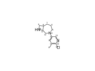 Cc1cc(N2CCCC3CNC3C2)cnc1Cl